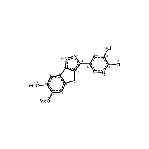 COc1cc2c(cc1OC)-c1[nH]nc(-c3cnc(Cl)c(Cl)c3)c1C2